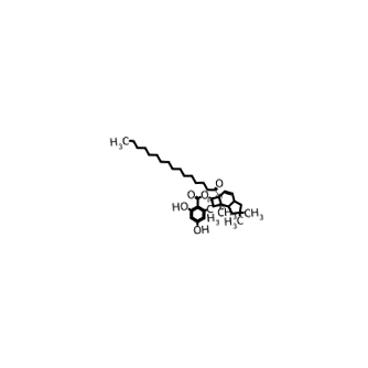 CCCCCCCCCCCCCCCC(=O)[C@]12C=CC3CC(C)(C)CC3[C@@]1(C)C[C@H]2OC(=O)c1c(C)cc(O)cc1O